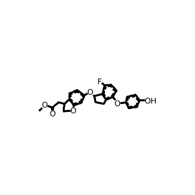 COC(=O)CC1COc2cc(O[C@@H]3CCc4c(Oc5ccc(O)cc5)ccc(F)c43)ccc21